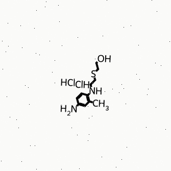 Cc1cc(N)ccc1NCCSCCO.Cl.Cl